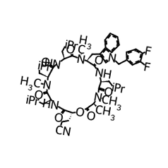 CC(C)C[C@@H]1NC(=O)[C@H](Cc2cn(Cc3ccc(F)c(F)c3)c3ccccc23)N(C)C(=O)[C@H](CC(C)C)NC(=O)[C@H](CC(C)C)N(C)C(=O)[C@H](CC(C)C)NC(=O)[C@@H](CCC#N)OC(=O)[C@H](C)N(C)C1=O